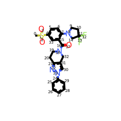 CS(=O)(=O)c1ccc(N2CCC(F)(F)C2)c(C(=O)N2CCc3nn(-c4ccccc4)cc3C2)c1